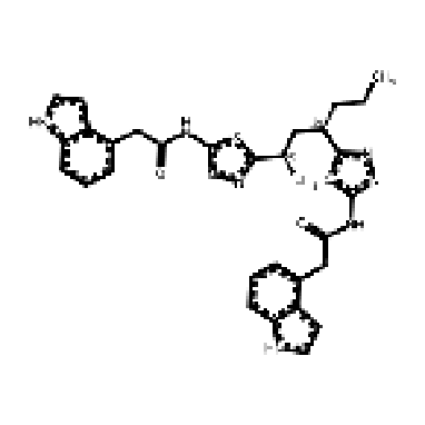 CCC[C@H](C[C@@H](C)c1nnc(NC(=O)Cc2cccc3[nH]ccc23)s1)c1nnc(NC(=O)Cc2cccc3[nH]ccc23)s1